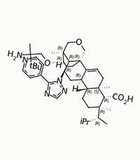 CC(C)[C@@H](C)[C@@]1(C)CC[C@]2(C)[C@H]3CC[C@@H]4[C@@]5(COC[C@]4(C)[C@@H](OCC(C)(N)C(C)(C)C)[C@H](n4ncnc4-c4ccncc4)C5)C3=CC[C@@]2(C)[C@@H]1C(=O)O